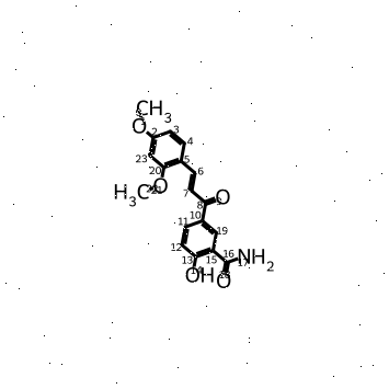 COc1ccc(C=CC(=O)c2ccc(O)c(C(N)=O)c2)c(OC)c1